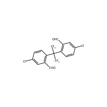 O=Cc1cc(Cl)ccc1C(c1ccc(Cl)cc1C=O)(C(F)(F)F)C(F)(F)F